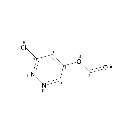 O=COc1cnnc(Cl)c1